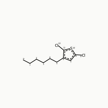 CCCCCCc1cc(Cl)sc1Cl